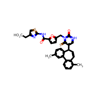 Cc1ccc2c(c1)-c1cccc(C)c1C=CC2c1c[nH]c(=O)n(Cc2ccc(C(=O)Nc3nc(CC(=O)O)cs3)o2)c1=S